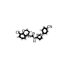 N#Cc1ccc(-n2ccc(NC(=O)N[C@H]3CCOc4c(Cl)cccc43)n2)cc1